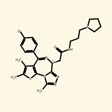 Cc1sc2c(c1C)C(c1ccc(Cl)cc1)=N[C@@H](CC(=O)NCCCN1CCCC1)c1nnc(C)n1-2